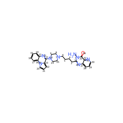 Nn1c(CCCCN2CCN(c3nc4ccccc4n4cccc34)CC2)nc2cccnc2c1=O